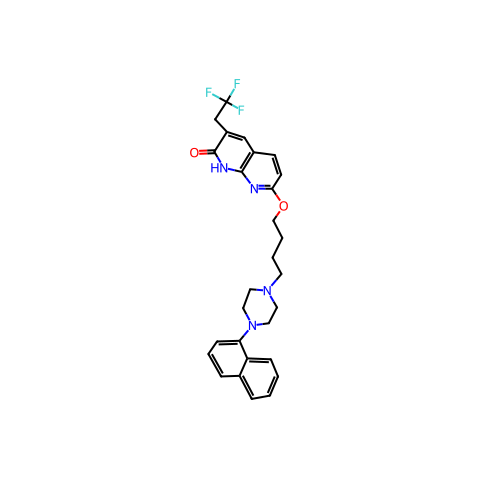 O=c1[nH]c2nc(OCCCCN3CCN(c4cccc5ccccc45)CC3)ccc2cc1CC(F)(F)F